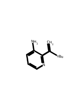 C=C(CCCC)c1ncccc1N